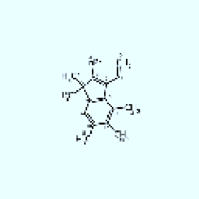 C=CC1=C(CCC)C(C)(C)c2cc(C)c(C)c(C)c21